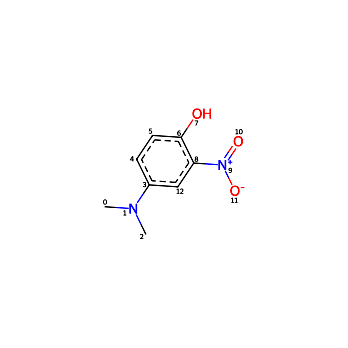 CN(C)c1ccc(O)c([N+](=O)[O-])c1